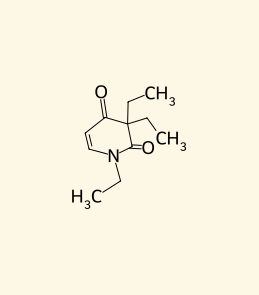 CCN1C=CC(=O)C(CC)(CC)C1=O